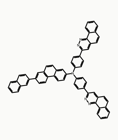 c1ccc2cc(-c3ccc4c(ccc5cc(N(c6ccc(-c7cc8ccc9ccccc9c8nn7)cc6)c6ccc(-c7cc8ccc9ccccc9c8nn7)cc6)ccc54)c3)ccc2c1